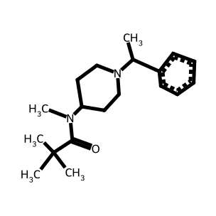 CC(c1ccccc1)N1CCC(N(C)C(=O)C(C)(C)C)CC1